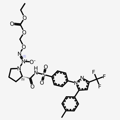 CCOC(=O)OCO/N=[N+](\[O-])N1CCC[C@H]1C(=O)NS(=O)(=O)c1ccc(-n2nc(C(F)(F)F)cc2-c2ccc(C)cc2)cc1